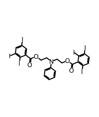 O=C(OCCN(CCOC(=O)c1c(I)ccc(I)c1I)c1ccccc1)c1cc(I)cc(I)c1I